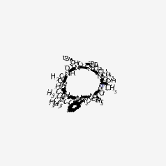 CC(C)C[C@H]1C(=O)N[C@@H](COC(C)(C)C)C(=O)N[C@@H](C)C(=O)NC(C)C(=O)N(C)[C@@H](C)C(=O)N(C)[C@@H](Cc2ccccc2)C(=O)N(C)[C@@H](CC(C)C)C(=O)/N=C(/[C@@H](C)O)C(=O)N(C)[C@@H](C)C(=O)N1C